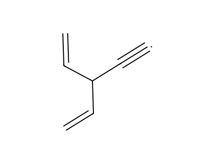 [C]#CC(C=C)C=C